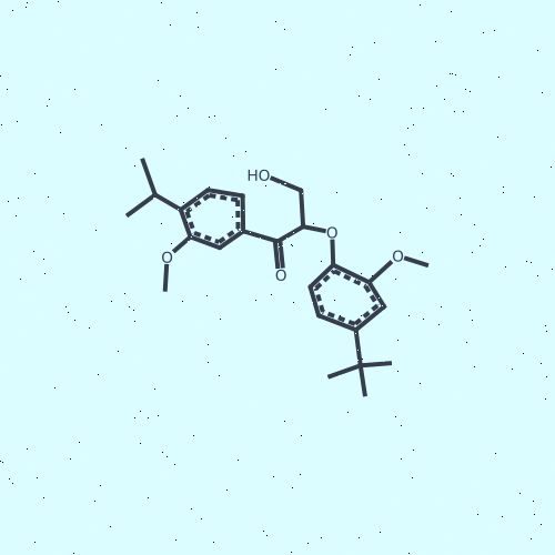 COc1cc(C(C)(C)C)ccc1OC(CO)C(=O)c1ccc(C(C)C)c(OC)c1